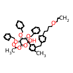 C=CCOCCCCc1ccc(Cc2cc([C@]3(O)O[C@H](OC(C)=O)[C@H](OCc4ccccc4)[C@H](OCc4ccccc4)[C@H]3OCc3ccccc3)ccc2C)cc1